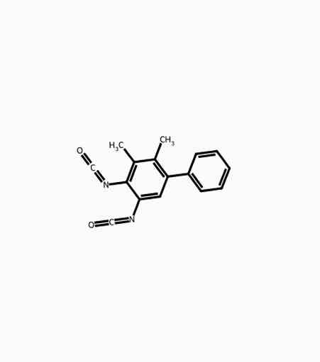 Cc1c(-c2ccccc2)cc(N=C=O)c(N=C=O)c1C